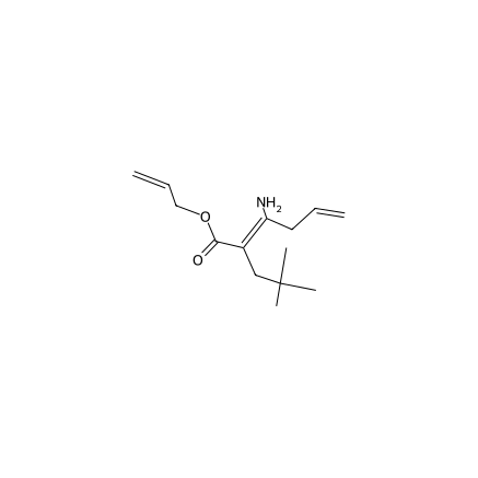 C=CCOC(=O)C(CC(C)(C)C)=C(N)CC=C